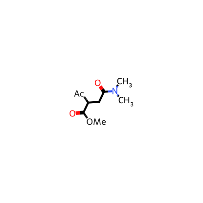 COC(=O)C(CC(=O)N(C)C)C(C)=O